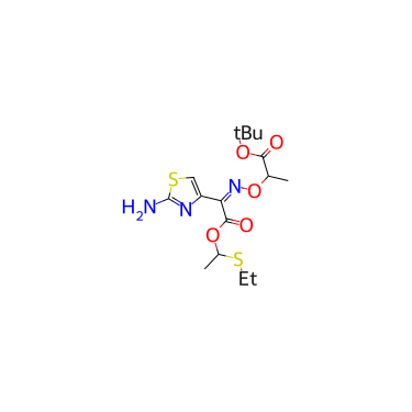 CCSC(C)OC(=O)C(=NOC(C)C(=O)OC(C)(C)C)c1csc(N)n1